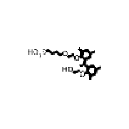 Cc1cc(C)c(OCCO)c(C(C)c2cc(C)cc(C)c2OCCOCCCCS(=O)(=O)O)c1